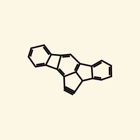 C1#CC2c3ccccc3-c3cc4c(c1c32)-c1ccccc1-4